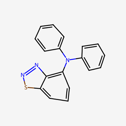 c1ccc(N(c2ccccc2)c2cccc3snnc23)cc1